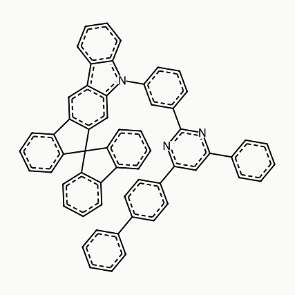 c1ccc(-c2ccc(-c3cc(-c4ccccc4)nc(-c4cccc(-n5c6ccccc6c6cc7c(cc65)C5(c6ccccc6-c6ccccc65)c5ccccc5-7)c4)n3)cc2)cc1